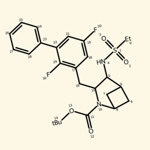 CCS(=O)(=O)NC1C2CC(C2)N(C(=O)OC(C)(C)C)C1Cc1cc(F)cc(-c2ccccc2)c1F